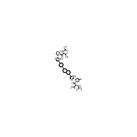 COC(=O)N[C@H](C(=O)N1CC(C)=C[C@H]1c1ncc(-c2ccc3cc(-c4ccc(-c5cnc([C@@H]6CCCN6C(=O)[C@@H](NC(=O)OC)[C@@H](C)OC)[nH]5)cc4)ccc3c2)[nH]1)[C@@H](C)OC